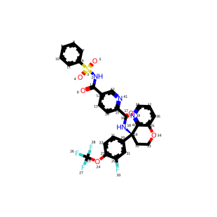 O=C(NS(=O)(=O)c1ccccc1)c1ccc(C(=O)N[C@]2(c3ccc(OC(F)(F)F)c(F)c3)CCOc3cccnc32)nc1